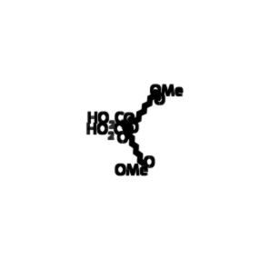 COC(=O)CCCCCCC(=O)OC(C(=O)O)C(OC(=O)CCCCCCC(=O)OC)C(=O)O